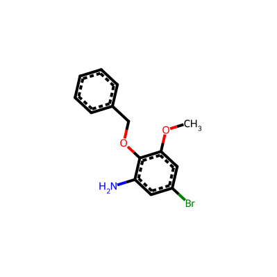 COc1cc(Br)cc(N)c1OCc1ccccc1